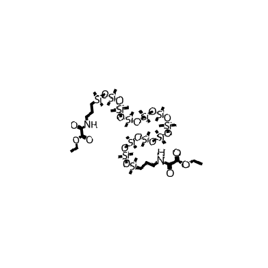 CCOC(=O)C(=O)NCCC[Si](C)(C)O[Si](C)(C)O[Si](C)(C)O[Si](C)(C)O[Si](C)(C)O[Si](C)(C)O[Si](C)(C)O[Si](C)(C)O[Si](C)(C)O[Si](C)(C)O[Si](C)(C)O[Si](C)(C)CCCNC(=O)C(=O)OCC